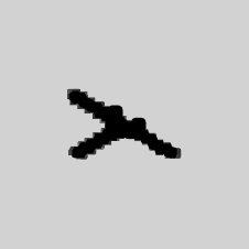 C=CCCCCCCCCC(=O)OCC(COC(=O)CCCCCCCCC=C)OC(=O)CCCCCCCCC=C